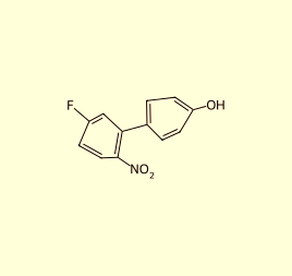 O=[N+]([O-])c1ccc(F)cc1-c1ccc(O)cc1